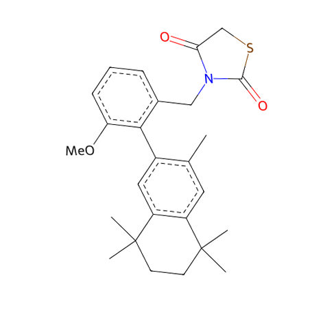 COc1cccc(CN2C(=O)CSC2=O)c1-c1cc2c(cc1C)C(C)(C)CCC2(C)C